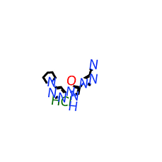 Cl.N#Cc1cn(-c2c[nH]n(-c3cc(N4CCCCC4)ncn3)c2=O)cn1